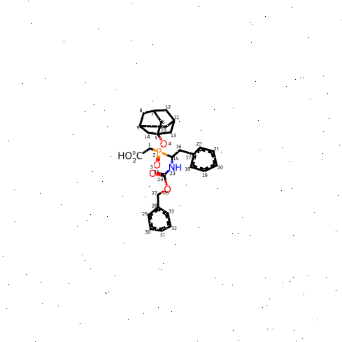 O=C(O)CP(=O)(OC12CC3CC(CC(C3)C1)C2)C(Cc1ccccc1)NC(=O)OCc1ccccc1